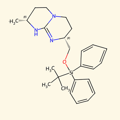 [CH2][C@@H]1CCN2CC[C@H](CO[Si](c3ccccc3)(c3ccccc3)C(C)(C)C)N=C2N1